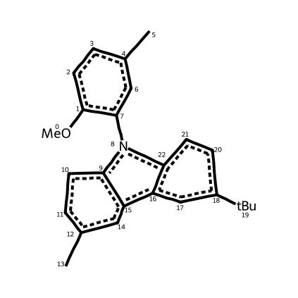 COc1ccc(C)cc1-n1c2ccc(C)cc2c2cc(C(C)(C)C)ccc21